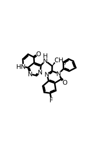 C[C@H](Nc1ncnc2[nH]ccc(=O)c12)c1nc2ccc(F)cc2c(=O)n1-c1ccccc1